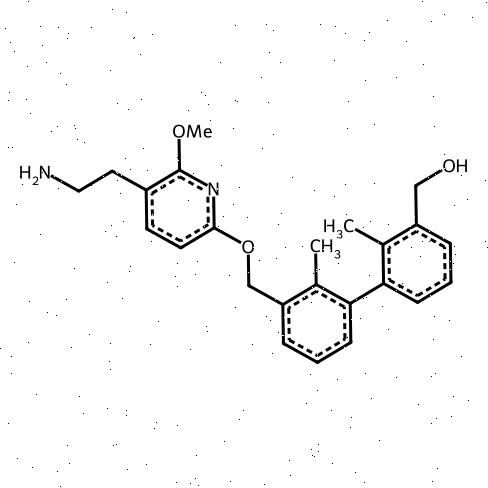 COc1nc(OCc2cccc(-c3cccc(CO)c3C)c2C)ccc1CCN